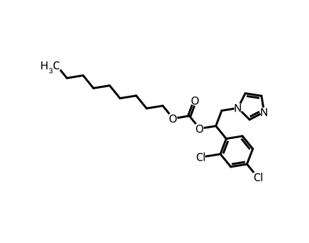 CCCCCCCCCOC(=O)OC(Cn1ccnc1)c1ccc(Cl)cc1Cl